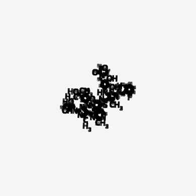 Cc1nc(NCC2(O)CCOC2)nc(N[C@@H]2C[C@H](C(C)(C)O)C(=O)[C@H]2Oc2nccc3sc(-c4c(C)nc(NCc5c(F)cccc5F)nc4N[C@@H]4C[C@H](CN5CCOCC5=O)[C@@H](O)[C@H]4O)nc23)c1-c1nc2c(C)nccc2s1